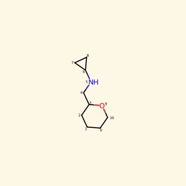 C1CCC(CNC2CC2)OC1